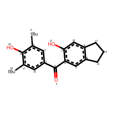 CC(C)(C)c1cc(C(=O)c2cc3c(cc2O)CCC3)cc(C(C)(C)C)c1O